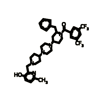 Cc1ccc(O)c(CN2CCC(N3CCN(C4CCN(C(=O)c5cc(C(F)(F)F)cc(C(F)(F)F)c5)C(Cc5ccccc5)C4)CC3)CC2)n1